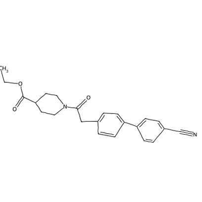 CCOC(=O)C1CCN(C(=O)Cc2ccc(-c3ccc(C#N)cc3)cc2)CC1